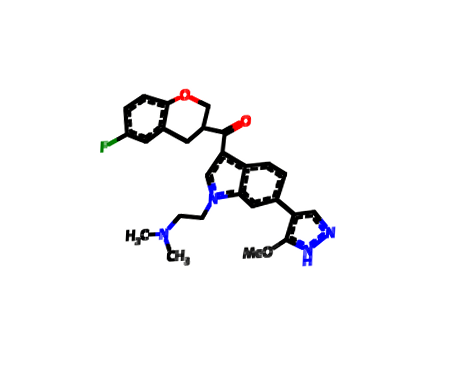 COc1[nH]ncc1-c1ccc2c(C(=O)C3COc4ccc(F)cc4C3)cn(CCN(C)C)c2c1